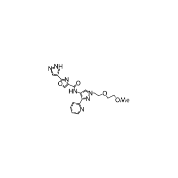 COCCOCCn1cc(NC(=O)c2coc(-c3cn[nH]c3)n2)c(-c2ccccn2)n1